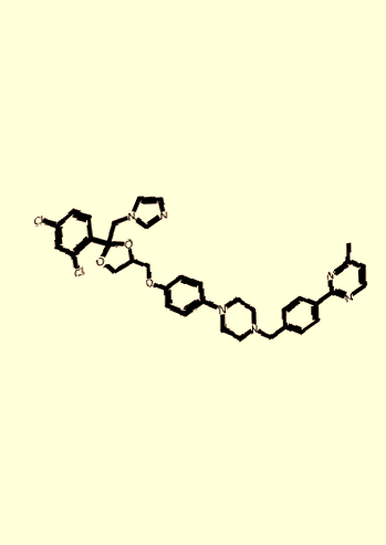 Cc1ccnc(-c2ccc(CN3CCN(c4ccc(OCC5COC(Cn6ccnc6)(c6ccc(Cl)cc6Cl)O5)cc4)CC3)cc2)n1